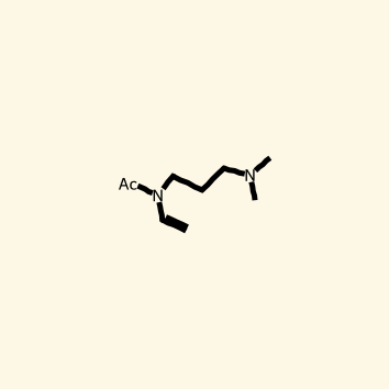 C=CN(CCCN(C)C)C(C)=O